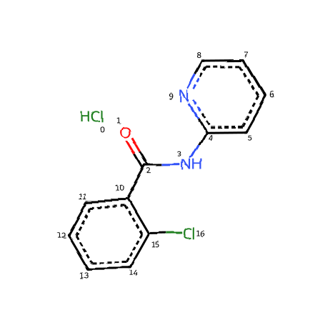 Cl.O=C(Nc1ccccn1)c1ccccc1Cl